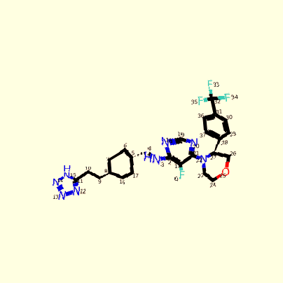 Fc1c(NC[C@H]2CC[C@H](CCc3nnn[nH]3)CC2)ncnc1N1CCOC[C@@H]1c1ccc(C(F)(F)F)cc1